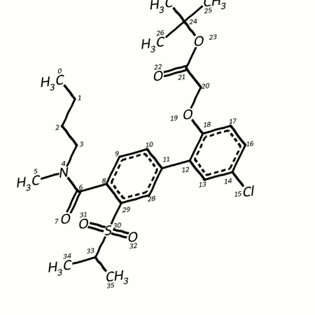 CCCCN(C)C(=O)c1ccc(-c2cc(Cl)ccc2OCC(=O)OC(C)(C)C)cc1S(=O)(=O)C(C)C